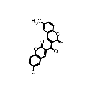 Cc1ccc2oc(=O)c(C(=O)c3cc4cc(Cl)ccc4oc3=O)cc2c1